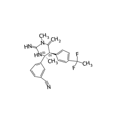 C=C1[C@@H](c2ccc(C(C)(F)F)cc2)[C@@](C)(c2cccc(C#N)c2)NC(=N)N1C